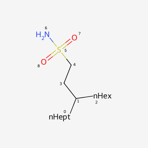 CCCCCCCC(CCCCCC)CCS(N)(=O)=O